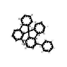 Bc1cccc2c1C1(c3ccccc3-2)c2ccccc2-c2c(-c3ccccc3)cccc21